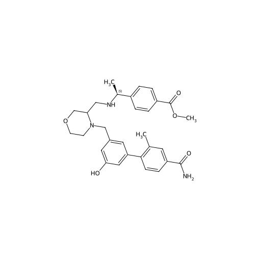 COC(=O)c1ccc([C@H](C)NCC2COCCN2Cc2cc(O)cc(-c3ccc(C(N)=O)cc3C)c2)cc1